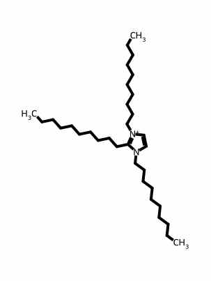 CCCCCCCCCCc1n(CCCCCCCCCC)cc[n+]1CCCCCCCCCC